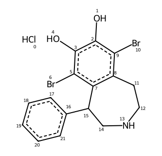 Cl.Oc1c(O)c(Br)c2c(c1Br)CCNCC2c1ccccc1